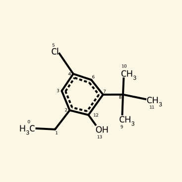 CCc1cc(Cl)cc(C(C)(C)C)c1O